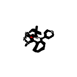 Cc1nnn(C)c1-c1ccccc1C(C1CCOCC1)[C@@H]1CNCC1(C)C